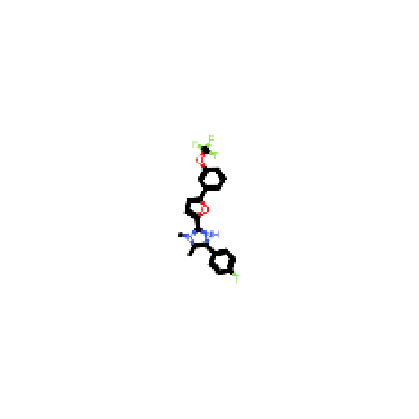 CC1=C(c2ccc(F)cc2)NC(c2ccc(-c3cccc(OC(F)(F)F)c3)o2)N1C